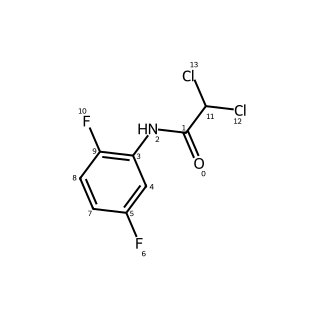 O=C(Nc1cc(F)ccc1F)C(Cl)Cl